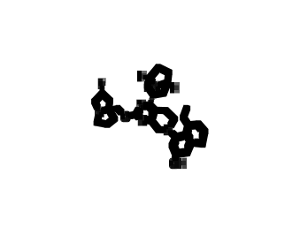 CCc1cccc2cc(O)cc(N3CCc4c(nc(OC[C@@]56CCCN5C[C@H](F)C6)nc4[C@@H]4C[C@H]5CC[C@@H](C4)N5)C3)c12